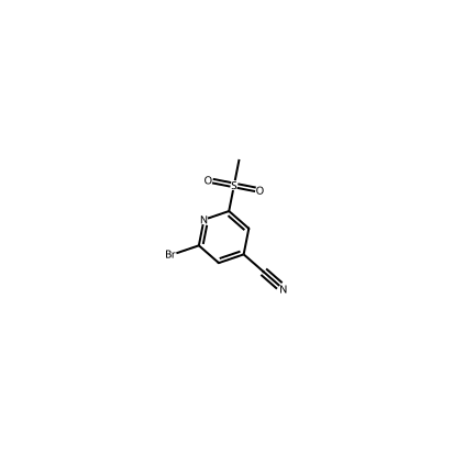 CS(=O)(=O)c1cc(C#N)cc(Br)n1